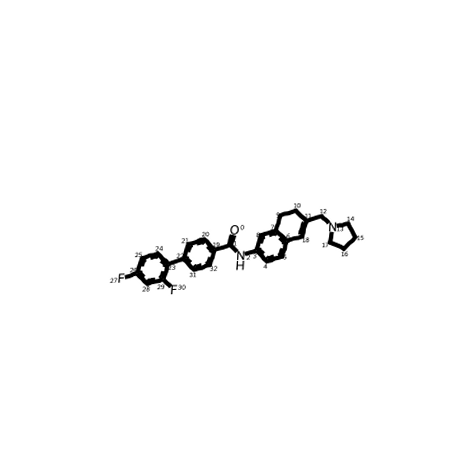 O=C(Nc1ccc2c(c1)CCC(CN1CCCC1)=C2)c1ccc(-c2ccc(F)cc2F)cc1